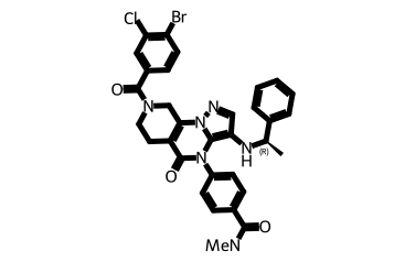 CNC(=O)c1ccc(-n2c(=O)c3c(n4ncc(N[C@H](C)c5ccccc5)c24)CN(C(=O)c2ccc(Br)c(Cl)c2)CC3)cc1